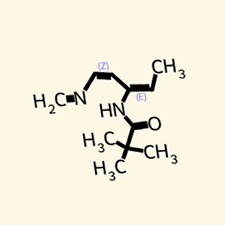 C=N/C=C\C(=C/C)NC(=O)C(C)(C)C